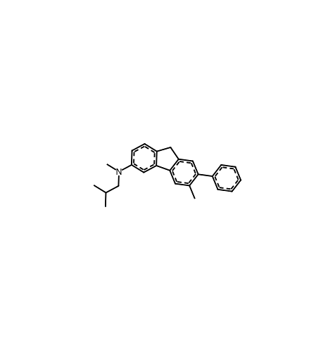 Cc1cc2c(cc1-c1ccccc1)Cc1ccc(N(C)CC(C)C)cc1-2